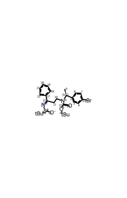 C[C@@H](c1ccc(Br)cc1)N(CC/C(=N\[S@+]([O-])C(C)(C)C)c1ccccc1)C(=O)OC(C)(C)C